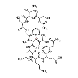 CC(=O)NC(CO)C(=O)NC(C(=O)NC(CO)C(=O)NCC(=O)N(C)C(Cc1ccccc1)C(=O)NC(CC(C)C)C(=O)NC(CCCN)C(=O)NC(CCC(=O)O)C(=O)NC(CC(N)=O)C(=O)NC(C)C(C)=O)C(O)C(N)=O